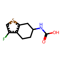 O=C(O)NC1CCc2c(F)csc2C1